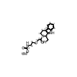 CC(C)CC1c2[nH]c3ccccc3c2CCN1C(=O)COCCNC(=O)OC(C)(C)C